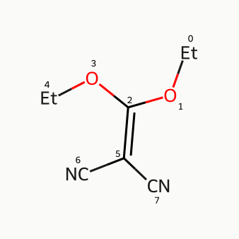 CCOC(OCC)=C(C#N)C#N